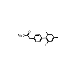 COC(=O)Cc1ccc(-c2c(F)cc(C)cc2F)cc1